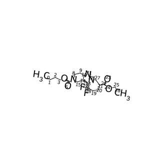 CCCCOC(=O)N1CCc2nn3c(c2C1)C(F)(F)CCC(C(=O)OCC)C3